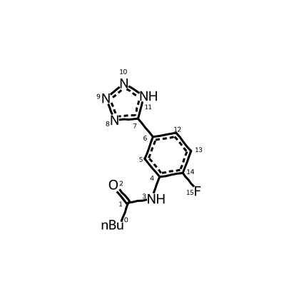 CCCCC(=O)Nc1cc(-c2nnn[nH]2)ccc1F